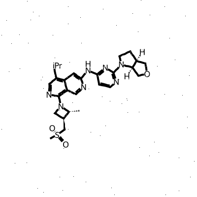 CC(C)c1cnc(N2C[C@H](CS(C)(=O)=O)[C@H]2C)c2cnc(Nc3ccnc(N4CC[C@H]5COC[C@H]54)n3)cc12